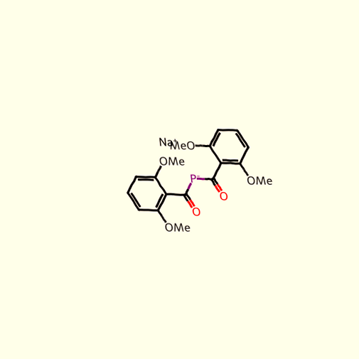 COc1cccc(OC)c1C(=O)[P-]C(=O)c1c(OC)cccc1OC.[Na+]